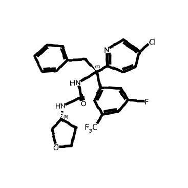 O=C(N[C@@H]1CCOC1)N[C@@](Cc1ccccc1)(c1cc(F)cc(C(F)(F)F)c1)c1ccc(Cl)cn1